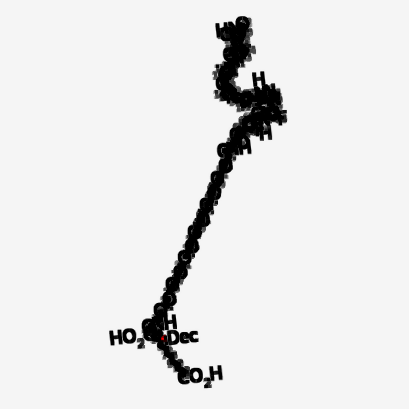 CCCCCCCCCCC[C@@](CCCCCCCCCCC(=O)O)(C(=O)O)C(=O)NCCOCCOCCOCCOCCOCCOCCOCCOCCOCCOCCOCCOCCC(=O)NCC(=O)OC(C)(C)c1ccc(C(=O)Nc2cc(F)cc(-c3ncnc4[nH]c(-c5ccc(CN6CCC(OC7CCN(CCn8cccc(CN9CCC(=O)NC9=O)c8=O)CC7)CC6)cc5)cc34)c2C)c(F)c1